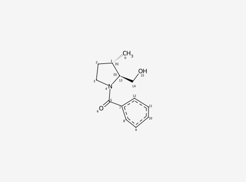 C[C@H]1CCN(C(=O)c2ccccc2)[C@@H]1CO